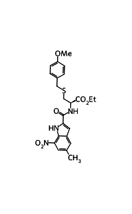 CCOC(=O)[C@H](CSCc1ccc(OC)cc1)NC(=O)c1cc2cc(C)cc([N+](=O)[O-])c2[nH]1